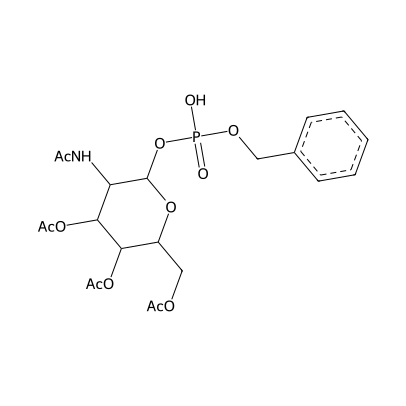 CC(=O)NC1C(OP(=O)(O)OCc2ccccc2)OC(COC(C)=O)C(OC(C)=O)C1OC(C)=O